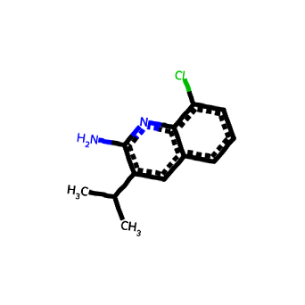 CC(C)c1cc2cccc(Cl)c2nc1N